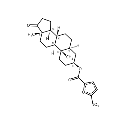 C[C@]12CC[C@H](OC(=O)c3ccc([N+](=O)[O-])o3)C[C@@H]1CC[C@@H]1[C@@H]2CC[C@]2(C)C(=O)CC[C@@H]12